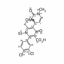 CCn1c(COC)c(-c2ccn(C)c(=O)c2)c(=O)c(C(=O)O)c1-c1ccc(Cl)c(Cl)c1